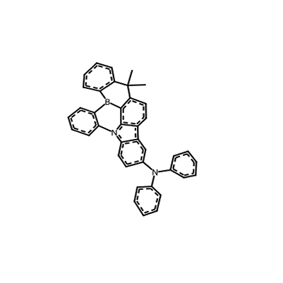 CC1(C)c2ccccc2B2c3ccccc3-n3c4ccc(N(c5ccccc5)c5ccccc5)cc4c4ccc1c2c43